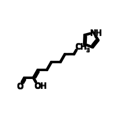 CCCCCCC=C(O)C=O.c1cc[nH]c1